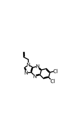 C=CCn1cnc2nc3cc(Cl)c(Cl)cc3nc21